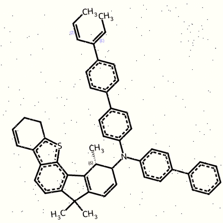 C/C=C\C(=C/C)c1ccc(-c2ccc(N(c3ccc(-c4ccccc4)cc3)C3C=CC4=C(c5c(ccc6c7c(sc56)CCC=C7)C4(C)C)[C@@H]3C)cc2)cc1